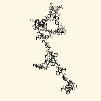 CC[C@H]1OC(=O)[C@H](C)[C@@H](O[C@H]2C[C@@](C)(OC)[C@@H](O)[C@H](C)O2)[C@H](C)[C@@H](O[C@@H]2O[C@H](C)C[C@H](N(C)CCCNC(=O)CCSSCCNC(=O)C(CCCCNC(=O)CCCCC3SCC4NC(=O)NC43)NC(=O)c3ccc(N=[N+]=[N-])cc3)[C@H]2O)[C@](C)(O)C[C@@H](C)CN(C)C[C@@H](O)[C@]1(C)O